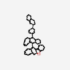 c1ccc2cc(-c3ccc(-c4c5ccccc5c(-c5c6ccccc6cc6oc7ccccc7c56)c5ccccc45)cc3)ccc2c1